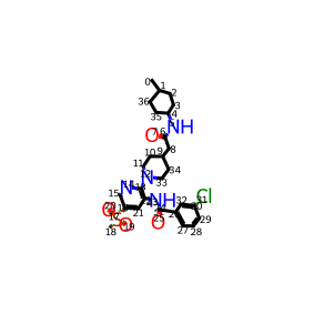 CC1CCC(NC(=O)CC2CCN(c3ncc(S(C)(=O)=O)cc3NC(=O)c3cccc(Cl)c3)CC2)CC1